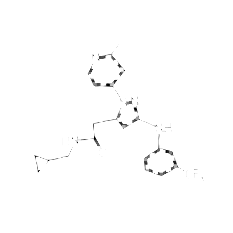 Cc1cc(-n2nc(Nc3cccc(C(F)(F)F)c3)cc2CC(=O)NCC2CC2)ccn1